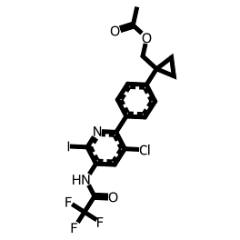 CC(=O)OCC1(c2ccc(-c3nc(I)c(NC(=O)C(F)(F)F)cc3Cl)cc2)CC1